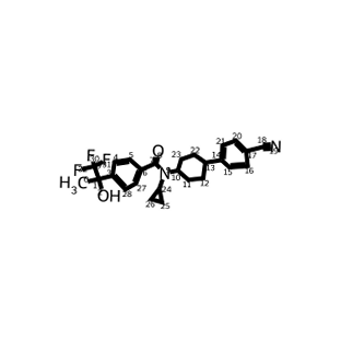 CC(O)(c1ccc(C(=O)N(C2CCC(c3ccc(C#N)cc3)CC2)C2CC2)cc1)C(F)(F)F